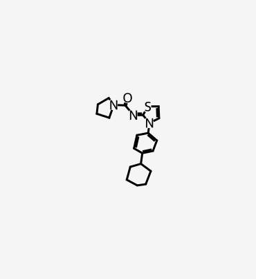 O=C(/N=c1\sccn1-c1ccc(C2CCCCC2)cc1)N1CCCC1